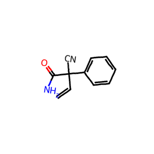 C=CC(C#N)(C(N)=O)c1ccccc1